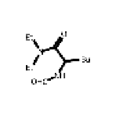 CCC(C)C(NC=O)C(=O)N(CC)CC